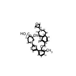 CO[C@@H]1CN(c2nc(-c3cccc(C)c3OCc3ccc4c(c3F)CCN(C3COC3)CC4)cs2)CC[C@@H]1C(=O)O